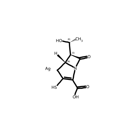 C[C@@H](O)[C@H]1C(=O)N2C(C(=O)O)=C(S)C[C@H]12.[Ag]